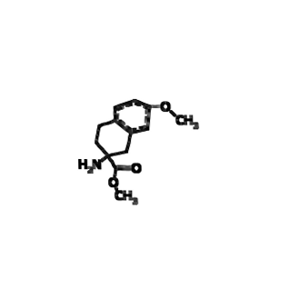 COC(=O)C1(N)CCc2ccc(OC)cc2C1